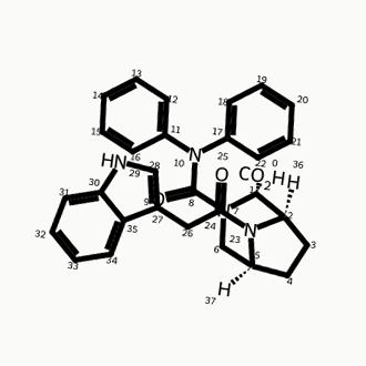 O=C(O)[C@@H]1[C@H]2CC[C@@H](CN1C(=O)N(c1ccccc1)c1ccccc1)N2C(=O)Cc1c[nH]c2ccccc12